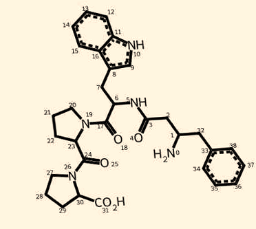 NC(CC(=O)NC(Cc1c[nH]c2ccccc12)C(=O)N1CCCC1C(=O)N1CCCC1C(=O)O)Cc1ccccc1